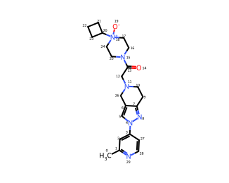 Cc1cc(-n2cc3c(n2)CCN(CC(=O)N2CC[N+]([O-])(C4CCC4)CC2)C3)ccn1